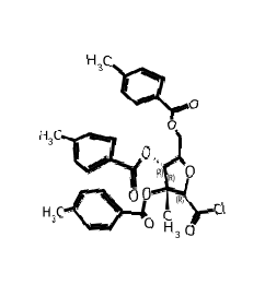 Cc1ccc(C(=O)OCC2O[C@@H](C(=O)Cl)[C@](C)(OC(=O)c3ccc(C)cc3)[C@@H]2OC(=O)c2ccc(C)cc2)cc1